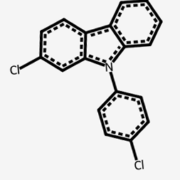 Clc1ccc(-n2c3ccccc3c3ccc(Cl)cc32)cc1